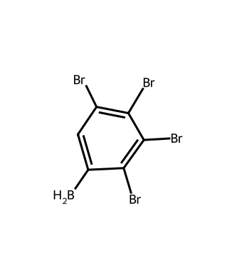 Bc1cc(Br)c(Br)c(Br)c1Br